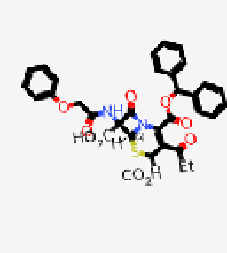 CCC(=O)C1=C(C(=O)OC(c2ccccc2)c2ccccc2)N2C(=O)C(NC(=O)COc3ccccc3)(C(=O)O)[C@@H]2SC1C(=O)O